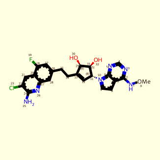 CONc1ncnc2c1ccn2[C@@H]1C=C(CCc2cc(F)c3cc(Cl)c(N)nc3c2)[C@@H](O)[C@H]1O